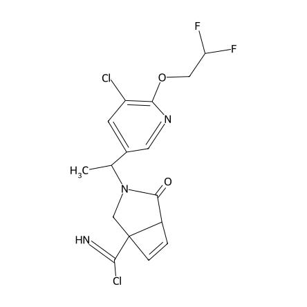 CC(c1cnc(OCC(F)F)c(Cl)c1)N1CC2(C(=N)Cl)C=CC2C1=O